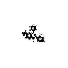 Cc1[nH]c(=O)ccc1N1CN(C2C=COCC2)c2cc(C(F)(F)F)ccc2C1=O